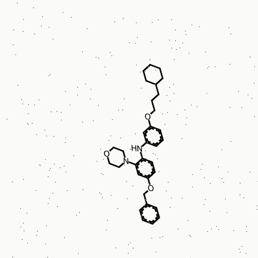 c1ccc(COc2ccc(Nc3cccc(OCCCC4CCCCC4)c3)c(N3CCOCC3)c2)cc1